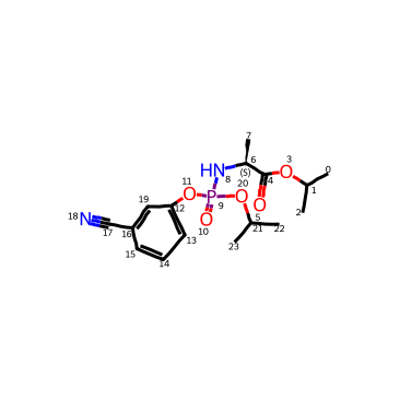 CC(C)OC(=O)[C@H](C)NP(=O)(Oc1cccc(C#N)c1)OC(C)C